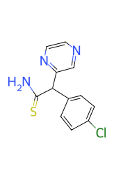 NC(=S)C(c1ccc(Cl)cc1)c1cnccn1